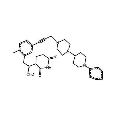 Cc1ccc(C#CCN2CCN(C3CCN(c4ccccc4)CC3)CC2)cc1CN(C=O)C1CCC(=O)NC1=O